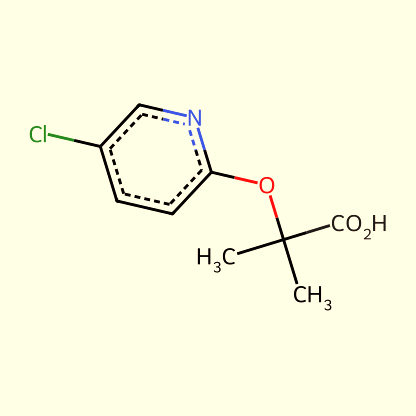 CC(C)(Oc1ccc(Cl)cn1)C(=O)O